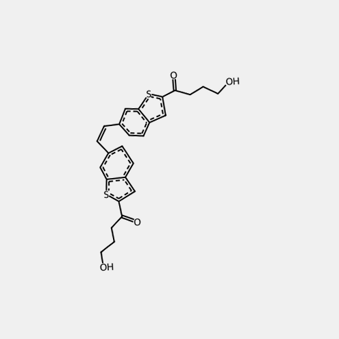 O=C(CCCO)c1cc2ccc(/C=C\c3ccc4cc(C(=O)CCCO)sc4c3)cc2s1